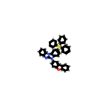 c1ccc(S(c2ccccc2)(c2ccccc2)c2ccc3c(c2)n2c4ccccc4nc2n3-c2ccc3oc4ccccc4c3c2)cc1